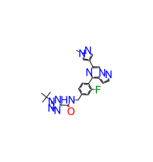 Cn1cc(-c2cn3nccc3c(-c3ccc(CNC(=O)c4nnn(C(C)(C)C)n4)cc3F)n2)cn1